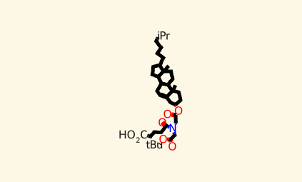 CC(C)CCCCC1CCC2C3CC=C4CC(OC(=O)CN(CC(=O)OC(C)(C)C)C(=O)CCCC(=O)O)CCC4(C)C3CCC12C